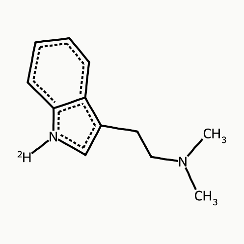 [2H]n1cc(CCN(C)C)c2ccccc21